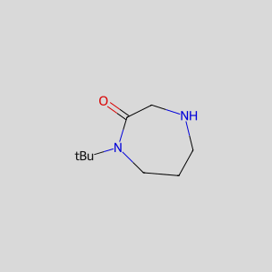 CC(C)(C)N1CCCNCC1=O